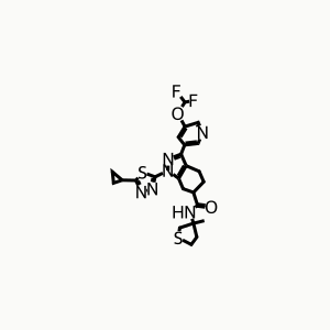 CC1(NC(=O)C2CCc3c(-c4cncc(OC(F)F)c4)nn(-c4nnc(C5CC5)s4)c3C2)CCSC1